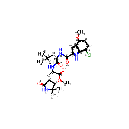 COC(=O)[C@H](C[C@@H]1CC(C)(C)NC1=O)NC(=O)[C@H](CC(C)(C)C)NC(=O)c1cc2c(OC)ccc(Cl)c2[nH]1